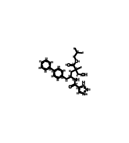 CC(C)COC(=O)C(C)(CO)CC(Cc1ccc(-c2ccccc2)cc1)NC(=O)c1cnn[nH]1